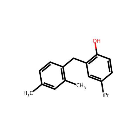 Cc1ccc(Cc2cc(C(C)C)ccc2O)c(C)c1